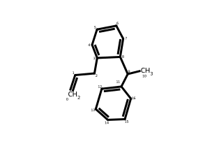 C=CCc1ccccc1C(C)c1ccccc1